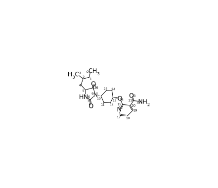 CCC(C)CC1NC(=O)N([C@H]2CC[C@H](Oc3ncccc3C(N)=O)CC2)C1=O